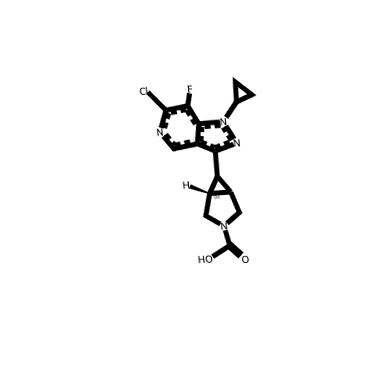 O=C(O)N1CC2C(c3nn(C4CC4)c4c(F)c(Cl)ncc34)[C@H]2C1